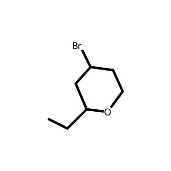 CCC1CC(Br)CCO1